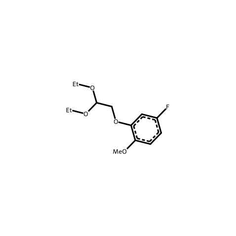 CCOC(COc1cc(F)ccc1OC)OCC